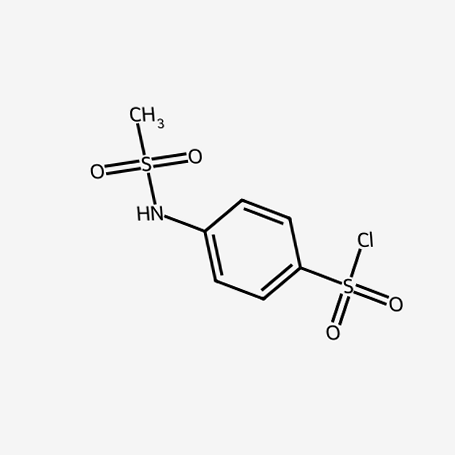 CS(=O)(=O)Nc1ccc(S(=O)(=O)Cl)cc1